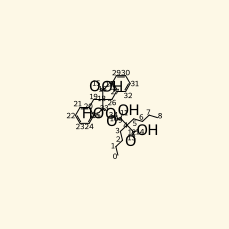 CCCCC(CCCC)(C(=O)O)C(=O)O.O=C(O)C(Cc1ccccc1)(Cc1ccccc1)C(=O)O